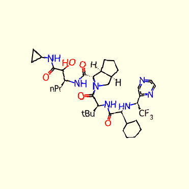 CCC[C@H](NC(=O)[C@@H]1[C@H]2CCC[C@H]2CN1C(=O)[C@@H](NC(=O)[C@H](N[C@@H](c1cnccn1)C(F)(F)F)C1CCCCC1)C(C)(C)C)C(O)C(=O)NC1CC1